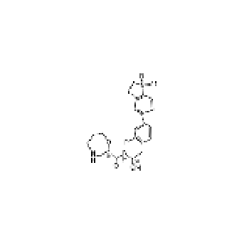 N#C[C@H](Cc1ccc(-c2ccc3c(c2)CCS3(=O)=O)cc1F)NC(=O)[C@@H]1CNCCCO1